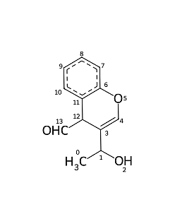 CC(O)C1=COc2ccccc2C1C=O